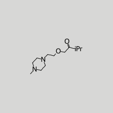 CC(C)C(=O)COCCN1CCN(C)CC1